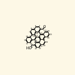 O=Cc1ccc2ccc3c4ccccc4c(I)c4c3c2c1c1c2ccccc2c2ccc3ccc(CO)cc3c2c41